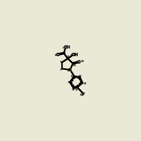 O=C(O)C1(O)CCN(c2ccc(F)cc2)C1=O